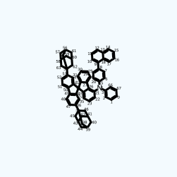 c1ccc(N(c2ccc(-c3cccc4ccccc34)cc2)c2cccc3c2-c2ccccc2C32c3cc(C45CC6CC(CC(C6)C4)C5)ccc3-c3ccc(C45CC6CC(CC(C6)C4)C5)cc32)cc1